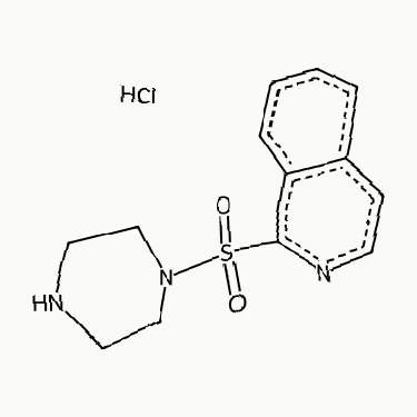 Cl.O=S(=O)(c1nccc2ccccc12)N1CCNCC1